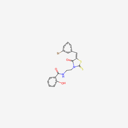 O=C(NCCN1C(=O)C(=Cc2cccc(Br)c2)SC1=S)c1ccccc1O